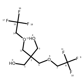 OCC(CO)(COCC(F)(F)F)COCC(F)(F)F